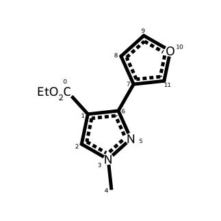 CCOC(=O)c1cn(C)nc1-c1ccoc1